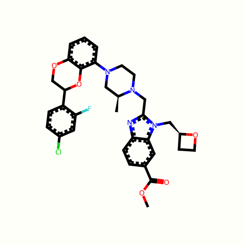 COC(=O)c1ccc2nc(CN3CCN(c4cccc5c4OC(c4ccc(Cl)cc4F)CO5)C[C@@H]3C)n(C[C@@H]3CCO3)c2c1